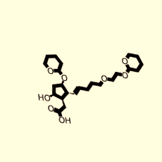 O=C(O)C[C@@H]1[C@@H](C=CCCCOCCOC2CCCCO2)[C@H](OC2CCCCO2)C[C@@H]1O